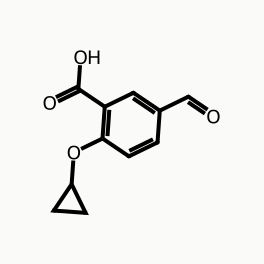 O=Cc1ccc(OC2CC2)c(C(=O)O)c1